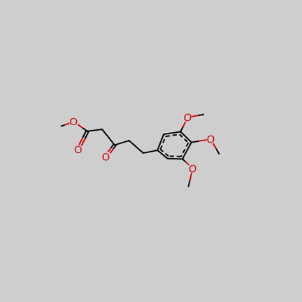 COC(=O)CC(=O)CCc1cc(OC)c(OC)c(OC)c1